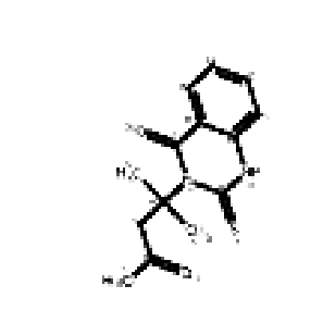 COC(=O)CC(C)(C)n1c(=S)[nH]c2ccccc2c1=O